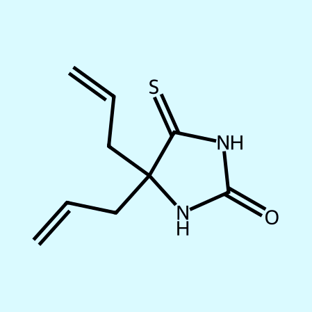 C=CCC1(CC=C)NC(=O)NC1=S